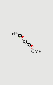 CCCc1ccc(OCC2C=CC(c3ccc(OCCOC)cc3)CC2)c(F)c1